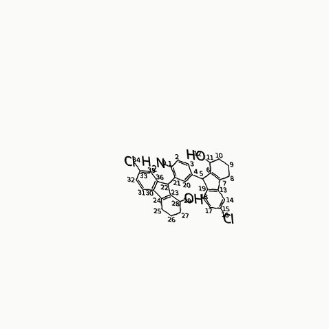 Nc1ccc(C2C3=C(CCCC3O)c3cc(Cl)ccc32)cc1C1C2=C(CCCC2O)c2ccc(Cl)cc21